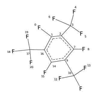 Fc1c(C(F)(F)F)c(F)c(C(F)(F)F)c(F)c1C(F)(F)F